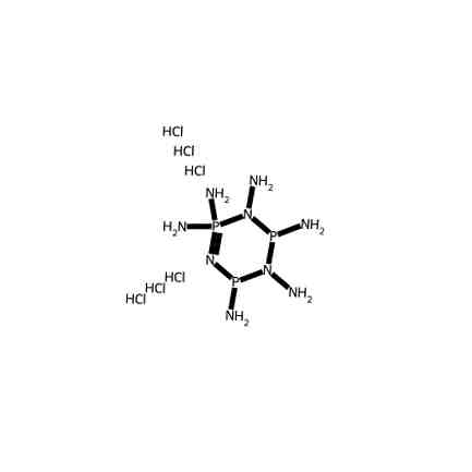 Cl.Cl.Cl.Cl.Cl.Cl.NN1P(N)N=P(N)(N)N(N)P1N